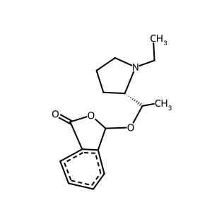 CCN1CCC[C@H]1C(C)OC1OC(=O)c2ccccc21